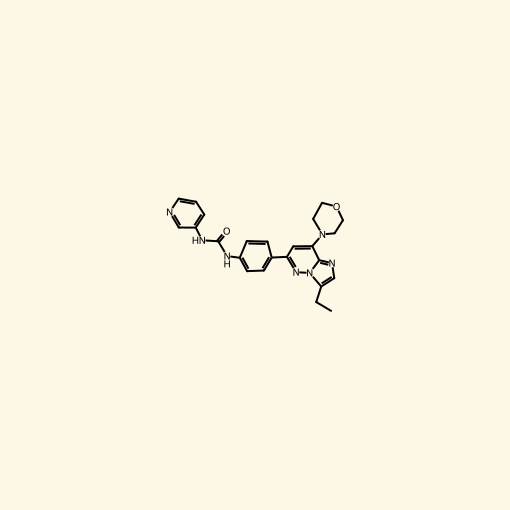 CCc1cnc2c(N3CCOCC3)cc(-c3ccc(NC(=O)Nc4cccnc4)cc3)nn12